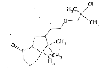 CC(C)(O)COCCC1CC2C(=O)CCCC2(C)C1(C)C